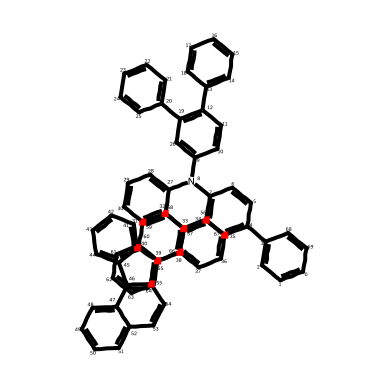 c1ccc(-c2ccc(N(c3ccc(-c4ccccc4)c(-c4ccccc4)c3)c3ccccc3-c3ccccc3-n3c4ccccc4c4c5ccccc5ccc43)c(-c3ccc4ccccc4c3)c2)cc1